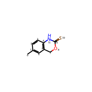 Cc1ccc2c(c1)COC(=S)N2